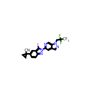 N#CC1(c2ccc3nn(-c4cc5cnn(CC(F)(F)C(F)(F)F)c5cn4)c(I)c3c2)CC1